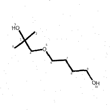 CC(C)(O)COCCCCO